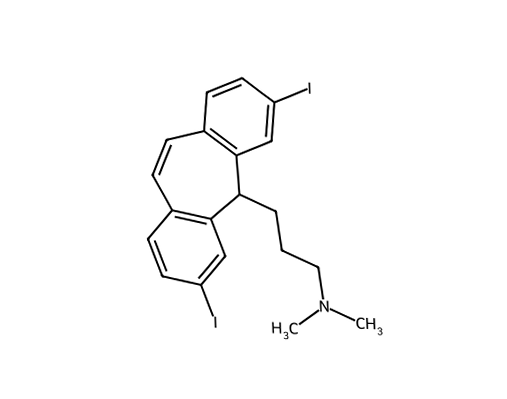 CN(C)CCCC1c2cc(I)ccc2C=Cc2ccc(I)cc21